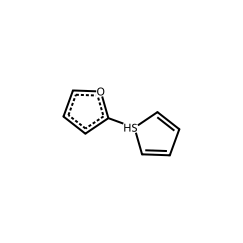 C1=C[SH](c2ccco2)C=C1